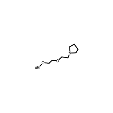 CCC(C)OCCOCCN1CCCC1